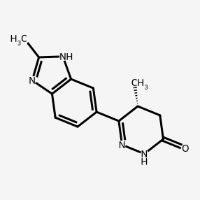 Cc1nc2ccc(C3=NNC(=O)C[C@H]3C)cc2[nH]1